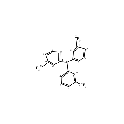 FC(F)(F)c1cccc(C(c2cccc(C(F)(F)F)c2)c2cccc(C(F)(F)F)c2)c1